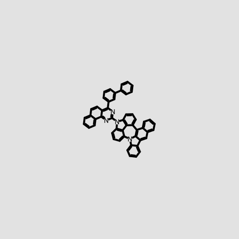 c1ccc(-c2cccc(-c3nc(-n4c5cccc6c5c5c4cccc5n4c5ccccc5c5cc7ccccc7c6c54)nc4c3ccc3ccccc34)c2)cc1